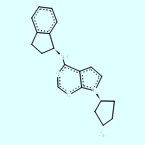 O=C[C@H]1CC[C@H](n2ccc3c(N[C@H]4CCc5ccccc54)ncnc32)C1